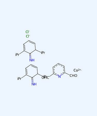 CC(C)C1=CC=CC(C(C)C)C1=N.CC(C)C1=CC=CC(C(C)C)C1=N.O=Cc1cccc(C=O)n1.[Cl-].[Cl-].[Co+2]